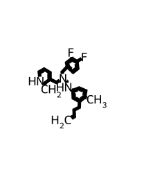 C=CCCc1cc(NCN(CC2=CC=CNC2=C)Cc2ccc(F)c(F)c2)ccc1C